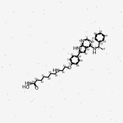 C[C@@H](Nc1ncnc2[nH]c(-c3ccc(OCCNCCCCCCC(=O)NO)cc3)cc12)c1ccccc1